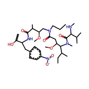 C=C(O)C(Cc1ccc([N+](=O)[O-])cc1)NC(=O)C(C)C(CN(CCC)C(=O)CC(OC)C(C(C)CC)N(C)C(=O)C(NC)C(C)C)OC